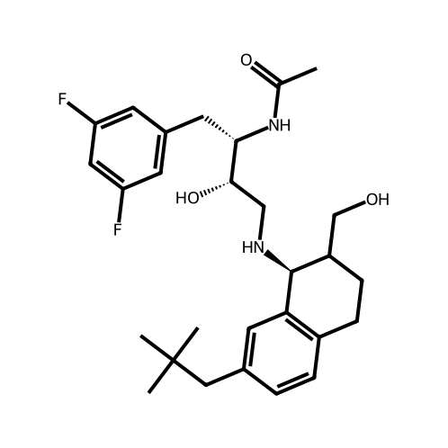 CC(=O)N[C@@H](Cc1cc(F)cc(F)c1)[C@@H](O)CN[C@@H]1c2cc(CC(C)(C)C)ccc2CCC1CO